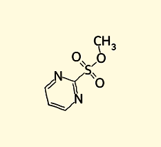 COS(=O)(=O)c1ncccn1